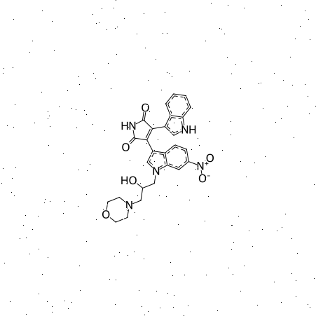 O=C1NC(=O)C(c2cn(CC(O)CN3CCOCC3)c3cc([N+](=O)[O-])ccc23)=C1c1c[nH]c2ccccc12